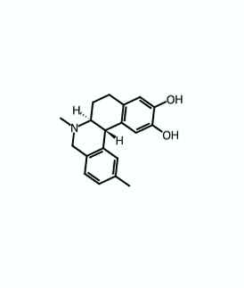 Cc1ccc2c(c1)[C@H]1c3cc(O)c(O)cc3CC[C@@H]1N(C)C2